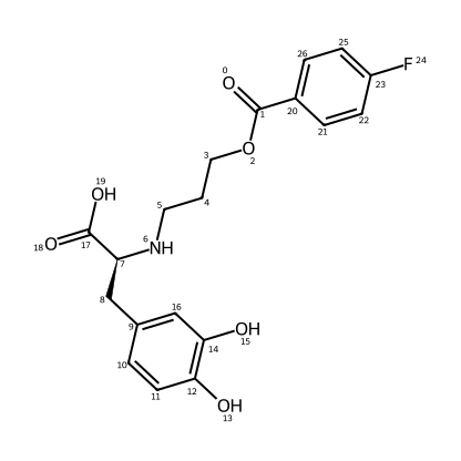 O=C(OCCCN[C@@H](Cc1ccc(O)c(O)c1)C(=O)O)c1ccc(F)cc1